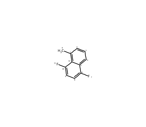 Cc1cccc2c(F)ccc(F)c12